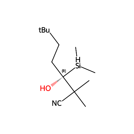 C[SiH](C)[C@](O)(CCC(C)(C)C)C(C)(C)C#N